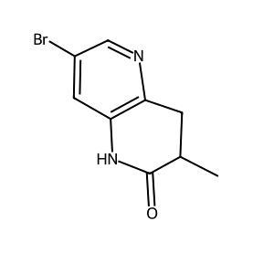 CC1Cc2ncc(Br)cc2NC1=O